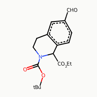 CCOC(=O)C1c2ccc(C=O)cc2CCN1C(=O)OC(C)(C)C